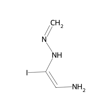 C=NN/C(I)=C\N